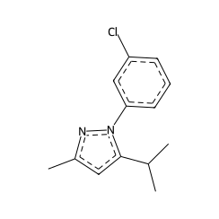 Cc1cc(C(C)C)n(-c2cccc(Cl)c2)n1